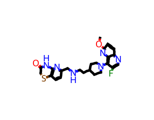 COc1ccc2ncc(F)c(N3CCC(CCNCc4ccc5c(n4)NC(=O)CS5)CC3)c2n1